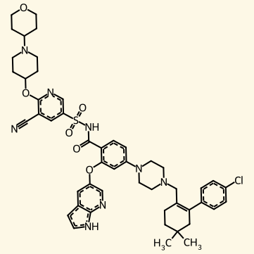 CC1(C)CCC(CN2CCN(c3ccc(C(=O)NS(=O)(=O)c4cnc(OC5CCN(C6CCOCC6)CC5)c(C#N)c4)c(Oc4cnc5[nH]ccc5c4)c3)CC2)=C(c2ccc(Cl)cc2)C1